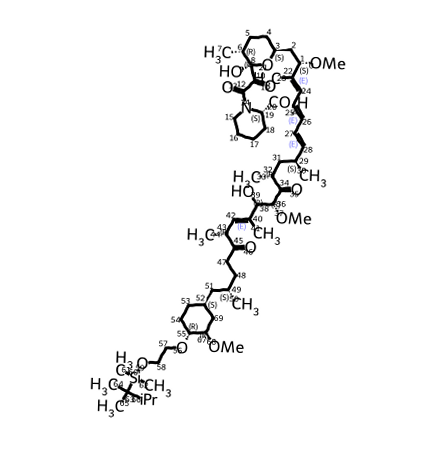 CO[C@@H](C[C@@H]1CC[C@@H](C)[C@](O)(C(=O)C(=O)N2CCCC[C@H]2C(=O)O)O1)/C(C)=C/C=C/C=C/[C@@H](C)C[C@@H](C)C(=O)[C@H](OC)[C@H](O)/C(C)=C/[C@@H](C)C(=O)CC[C@H](C)C[C@@H]1CC[C@@H](OCCO[Si](C)(C)C(C)(C)C(C)C)[C@H](OC)C1